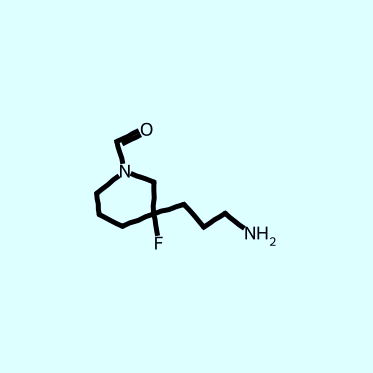 NCCCC1(F)CCCN(C=O)C1